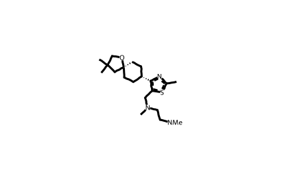 CNCCN(C)Cc1sc(C)nc1[C@H]1CC[C@]2(CC1)CC(C)(C)CO2